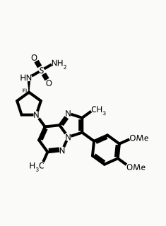 COc1ccc(-c2c(C)nc3c(N4CC[C@@H](NS(N)(=O)=O)C4)cc(C)nn23)cc1OC